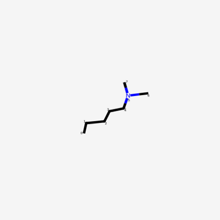 CCCC[CH]N(C)C